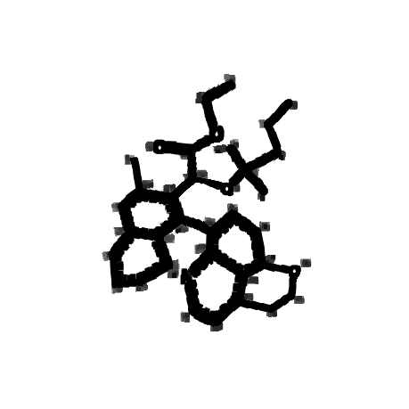 CCCC(C)(C)O[C@H](C(=O)OCC)c1c(C)cc2ccccc2c1-c1ccc2c3c(ccnc13)CCO2